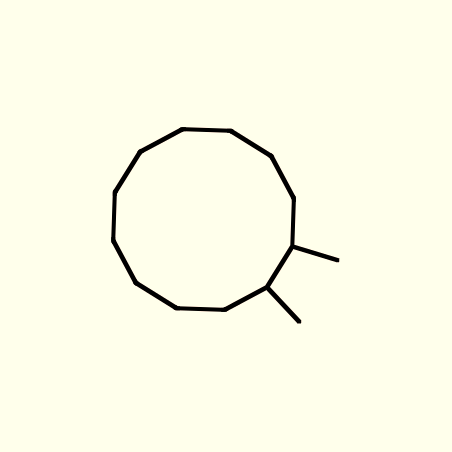 CC1CCCCCCCCCCC1C